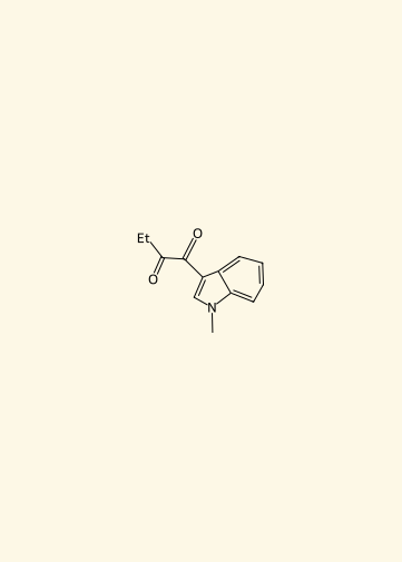 CCC(=O)C(=O)c1cn(C)c2ccccc12